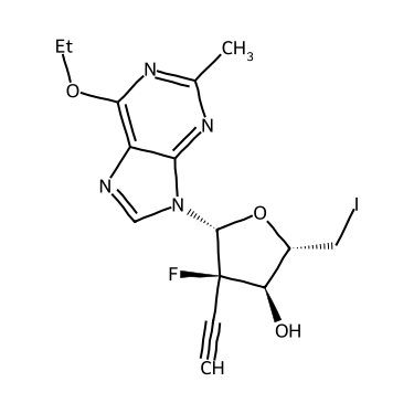 C#C[C@@]1(F)[C@H](O)[C@@H](CI)O[C@H]1n1cnc2c(OCC)nc(C)nc21